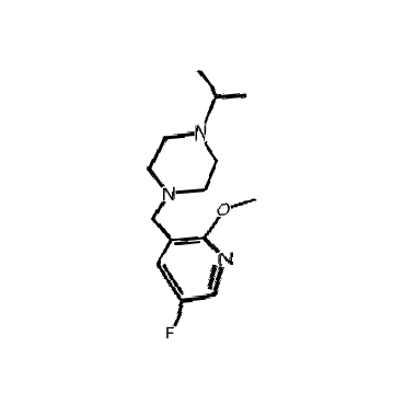 COc1ncc(F)cc1CN1CCN(C(C)C)CC1